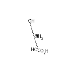 O=C(O)C(O)CCCCCCCCCCCCCCCCO.[BiH3]